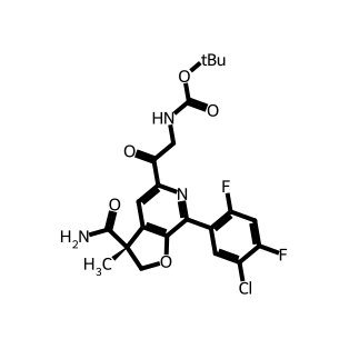 CC(C)(C)OC(=O)NCC(=O)c1cc2c(c(-c3cc(Cl)c(F)cc3F)n1)OC[C@]2(C)C(N)=O